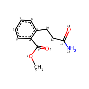 COC(=O)c1ccccc1CCC(N)=O